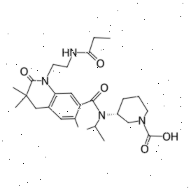 CCC(=O)NCCN1C(=O)C(C)(C)Cc2cc(C)c(C(=O)N(C(C)C)[C@@H]3CCCN(C(=O)O)C3)cc21